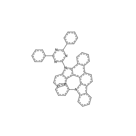 c1ccc(-c2nc(-c3ccccc3)nc(-n3c4ccccc4c4c5c(ccc6c7ccccc7n(-c7ccccc7)c65)c5ccccc5c43)n2)cc1